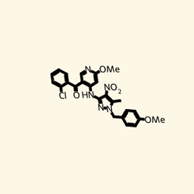 COc1ccc(Cn2nc(Nc3cc(OC)ncc3C(=O)c3ccccc3Cl)c([N+](=O)[O-])c2C)cc1